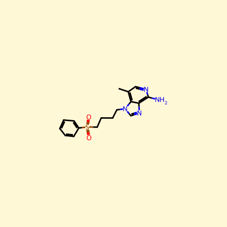 Cc1cnc(N)c2ncn(CCCCS(=O)(=O)c3ccccc3)c12